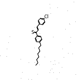 CCCCCCCCc1ccc(C(=S)C=Cc2ccc(Cl)cc2)cc1